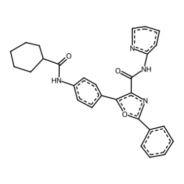 O=C(Nc1ccccn1)c1nc(-c2ccccc2)oc1-c1ccc(NC(=O)C2CCCCC2)cc1